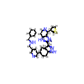 c1ccc(CNCc2cncc(-c3ccc4[nH]nc(-c5nc6c(-c7ccsc7)nccc6[nH]5)c4c3)c2)cc1